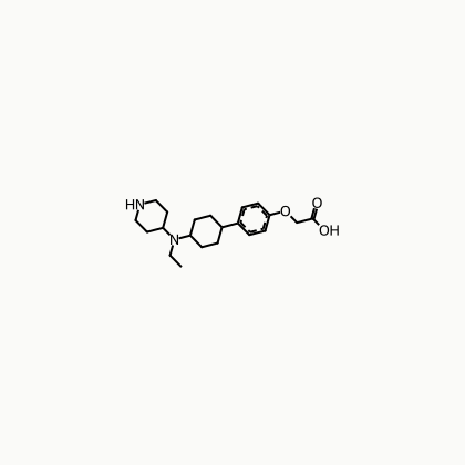 CCN(C1CCNCC1)C1CCC(c2ccc(OCC(=O)O)cc2)CC1